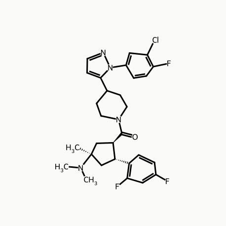 CN(C)[C@@]1(C)C[C@@H](C(=O)N2CCC(c3ccnn3-c3ccc(F)c(Cl)c3)CC2)[C@H](c2ccc(F)cc2F)C1